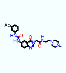 CC(=O)c1cccc(NC(=O)Nc2ccc3ncn(CC(=O)NCCN4CCN(C)CC4)c(=O)c3c2)c1